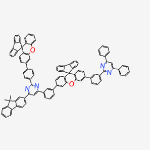 CC1(C)c2ccccc2-c2ccc(-c3cc(-c4cccc(-c5ccc6c(c5)Oc5cc(-c7cccc(-c8nc(-c9ccccc9)cc(-c9ccccc9)n8)c7)ccc5C65c6ccccc6-c6ccccc65)c4)nc(-c4ccc(-c5ccc6c(c5)Oc5ccccc5C65c6ccccc6-c6ccccc65)cc4)n3)cc21